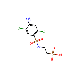 Nc1cc(Cl)c(S(=O)(=O)NCCS(=O)(=O)O)cc1Cl